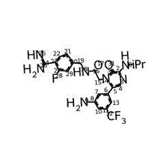 CC(C)Nc1ncc(-c2cc(N)cc(C(F)(F)F)c2)n(CC(=O)NCc2ccc(C(=N)N)c(F)c2)c1=O